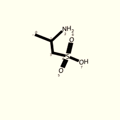 [CH2]C(N)CS(=O)(=O)O